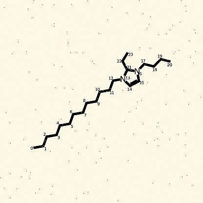 CCCCCCCCCCCCCN1C=CN(CCCC)C1CC